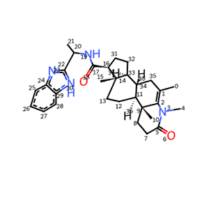 CC1=C2N(C)C(=O)CC[C@]2(C)[C@H]2CC[C@]3(C)[C@@H](C(=O)NC(C)c4nc5ccccc5[nH]4)CC[C@H]3[C@@H]2C1